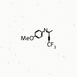 COc1ccc(N=C(C)C#CC(F)(F)F)cc1